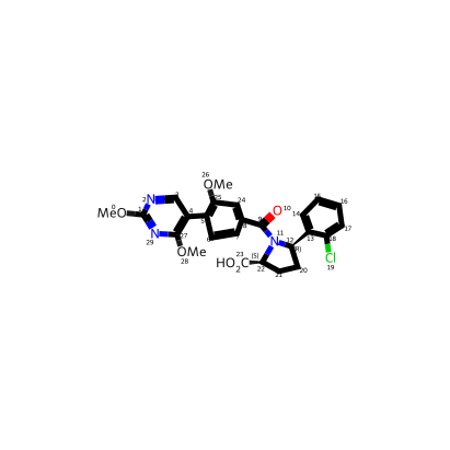 COc1ncc(-c2ccc(C(=O)N3[C@@H](c4ccccc4Cl)CC[C@H]3C(=O)O)cc2OC)c(OC)n1